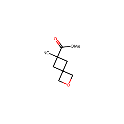 COC(=O)C1(C#N)CC2(COC2)C1